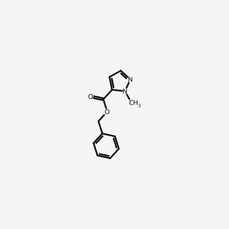 Cn1nccc1C(=O)OCc1ccccc1